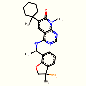 BC1(P)COc2c([C@@H](C)Nc3ncnc4c3cc(C3(B)CCCCC3)c(=O)n4C)cccc21